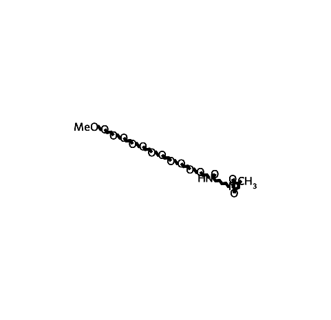 COCCOCCOCCOCCOCCOCCOCCOCCOCCOCCOCCOCCNC(=O)CCCCCN1C(=O)CC(C)C1=O